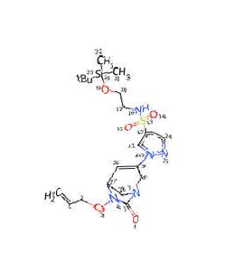 C=CCON1C(=O)N2CC(n3cc(S(=O)(=O)NCCO[Si](C)(C)C(C)(C)C)cn3)=CC1C2